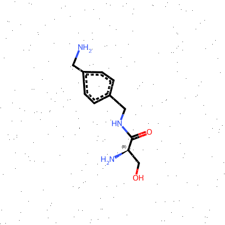 NCc1ccc(CNC(=O)[C@H](N)CO)cc1